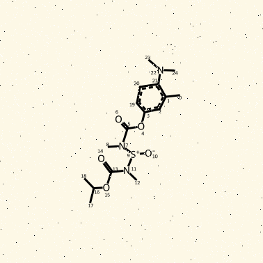 Cc1cc(OC(=O)N(C)[S+]([O-])N(C)C(=O)OC(C)C)ccc1N(C)C